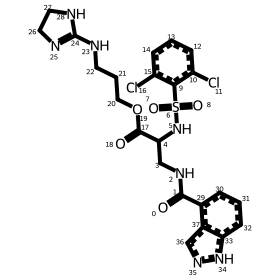 O=C(NCC(NS(=O)(=O)c1c(Cl)cccc1Cl)C(=O)OCCCNC1=NCCN1)c1cccc2[nH]ncc12